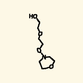 OCCOCCON1CCOCC1